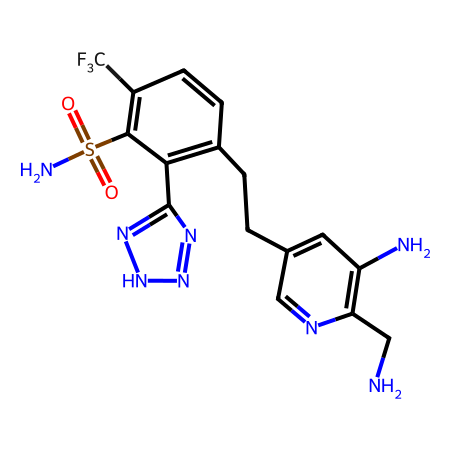 NCc1ncc(CCc2ccc(C(F)(F)F)c(S(N)(=O)=O)c2-c2nn[nH]n2)cc1N